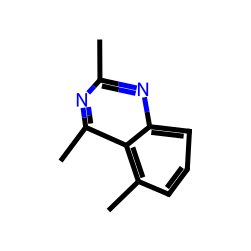 Cc1nc(C)c2c(C)cccc2n1